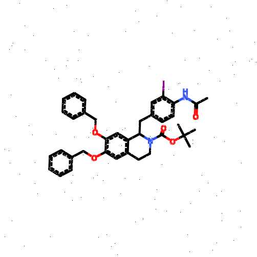 CC(=O)Nc1ccc(CC2c3cc(OCc4ccccc4)c(OCc4ccccc4)cc3CCN2C(=O)OC(C)(C)C)cc1I